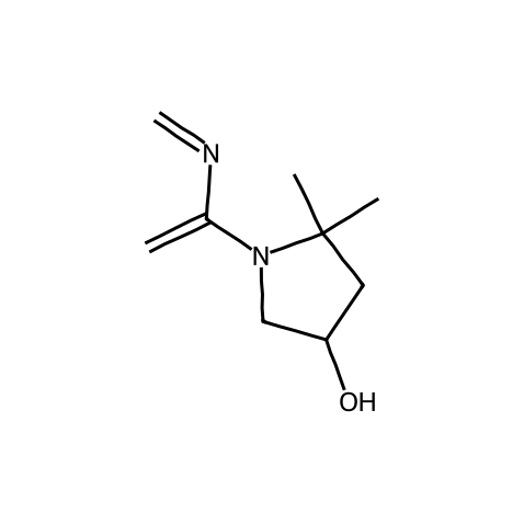 C=NC(=C)N1CC(O)CC1(C)C